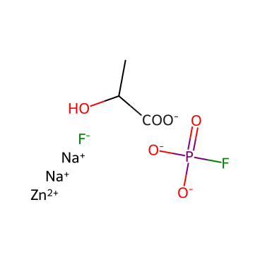 CC(O)C(=O)[O-].O=P([O-])([O-])F.[F-].[Na+].[Na+].[Zn+2]